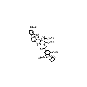 C1=NCCO1.COC(=O)[C@H]1[C@H]2C[C@@H]3c4[nH]c5cc(OC)ccc5c4CCN3C[C@H]2C[C@@H](OC(=O)c2cc(OC)c(OC)c(OC)c2)[C@@H]1OC